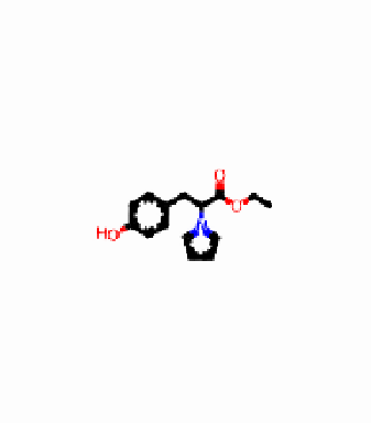 CCOC(=O)C(Cc1ccc(O)cc1)n1cccc1